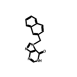 O=c1[nH]cnc2ncn(Cc3ccc4ccccc4c3)c12